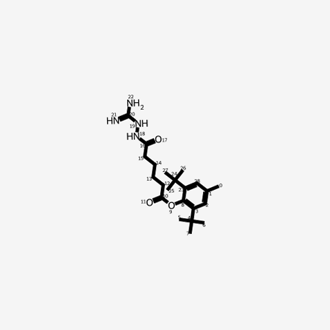 Cc1cc(C(C)(C)C)c(OC(=O)CCCCC(=O)NNC(=N)N)c(C(C)(C)C)c1